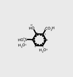 O.O.O=C(O)c1cccc(S(=O)(=O)O)c1O